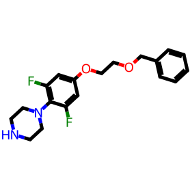 Fc1cc(OCCOCc2ccccc2)cc(F)c1N1CCNCC1